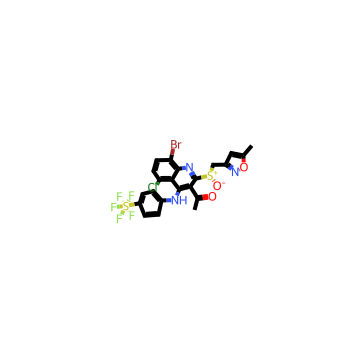 CC(=O)c1c([S+]([O-])Cc2cc(C)on2)nc2c(Br)ccc(Cl)c2c1Nc1ccc(S(F)(F)(F)(F)F)cc1